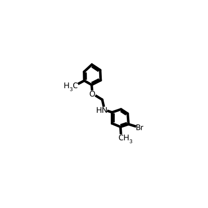 Cc1cc(NCOc2ccccc2C)ccc1Br